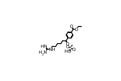 CCOC(=O)c1ccc(C(=O)CCCCCNC(=N)N)cc1.CS(=O)(=O)O